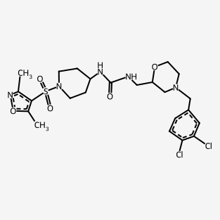 Cc1noc(C)c1S(=O)(=O)N1CCC(NC(=O)NCC2CN(Cc3ccc(Cl)c(Cl)c3)CCO2)CC1